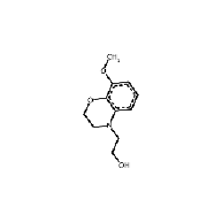 COc1cccc2c1OCCN2CCO